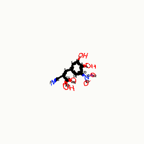 N#C/C(=C/c1cc(O)c(O)c([N+](=O)[O-])c1)C(=O)O